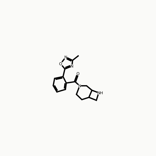 Cc1noc(-c2ccccc2C(=O)N2CCC3CNC3C2)n1